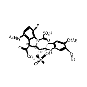 CCOc1cc2c(cc1OC)C[C@@H]([C@H](CS(C)(=O)=O)[C@@H]1[C@@H](C(=O)C(=O)O)c3c(NC(C)=O)ccc(F)c3N1C(=O)C(=O)O)N2